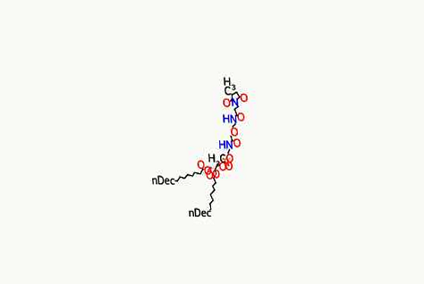 CCCCCCCCCCCCCCCCCC(=O)OC[C@H](COP(C)(=O)OCCNC(=O)COCCNC(=O)CCN1C(=O)CC(C)C1=O)OC(=O)CCCCCCCCCCCCCCCCC